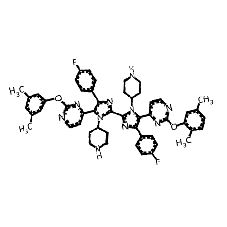 Cc1cc(C)cc(Oc2nccc(-c3c(-c4ccc(F)cc4)nc(-c4nc(-c5ccc(F)cc5)c(-c5ccnc(Oc6cc(C)ccc6C)n5)n4C4CCNCC4)n3C3CCNCC3)n2)c1